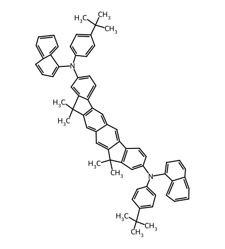 CC(C)(C)c1ccc(N(c2ccc3c(c2)C(C)(C)c2cc4cc5c(cc4cc2-3)-c2ccc(N(c3ccc(C(C)(C)C)cc3)c3cccc4ccccc34)cc2C5(C)C)c2cccc3ccccc23)cc1